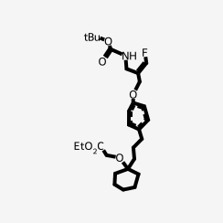 CCOC(=O)COC1(CCCc2ccc(OC/C(=C/F)CNC(=O)OC(C)(C)C)cc2)CCCCC1